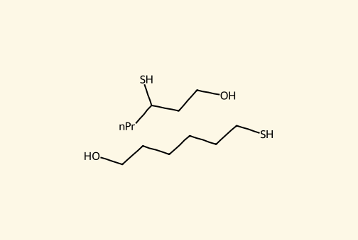 CCCC(S)CCO.OCCCCCCS